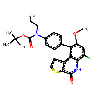 CCCN(C(=O)OC(C)(C)C)c1ccc(-c2c(OC)cc(Cl)c3[nH]c(=O)c4sccc4c23)cc1